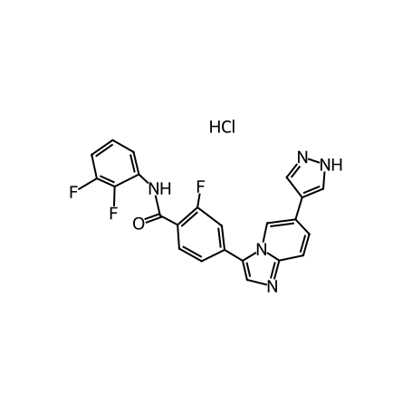 Cl.O=C(Nc1cccc(F)c1F)c1ccc(-c2cnc3ccc(-c4cn[nH]c4)cn23)cc1F